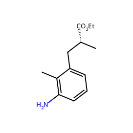 CCOC(=O)[C@H](C)Cc1cccc(N)c1C